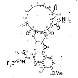 COc1ccc2c(O[C@H]3CCN4C(=O)N(C)CCCCC=C[C@@H]5C[C@@]5(C(N)=O)NC(=O)[C@@H]4C3)cc(-c3nc(C(F)(F)F)cs3)nc2c1C